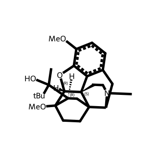 COc1ccc2c3c1O[C@H]1C4(OC)CCC5(C[C@@H]4C(C)(O)C(C)(C)C)C(C2)N(C)CC[C@]315